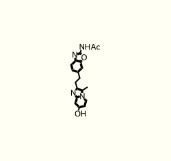 CC(=O)Nc1nc2ccc(CCc3nc4cc(O)ccn4c3C)cc2o1